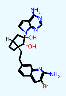 Nc1nc2cc(CC[C@@]34CC[C@@H]3C[C@](O)(n3ccc5c(N)ncnc53)[C@@H]4O)ccc2cc1Br